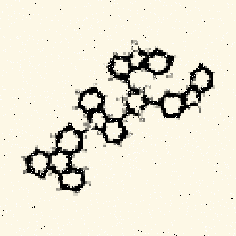 c1ccc2c(c1)oc1ccc(-c3nc(-c4cccc5oc6ccccc6c45)nc(-c4cccc5c4c4ccccc4n5-c4ccc5c6ccccc6c6ccccc6c5c4)n3)cc12